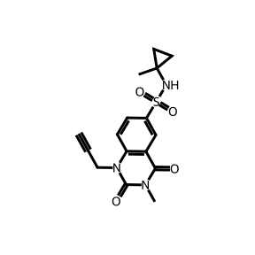 C#CCn1c(=O)n(C)c(=O)c2cc(S(=O)(=O)NC3(C)CC3)ccc21